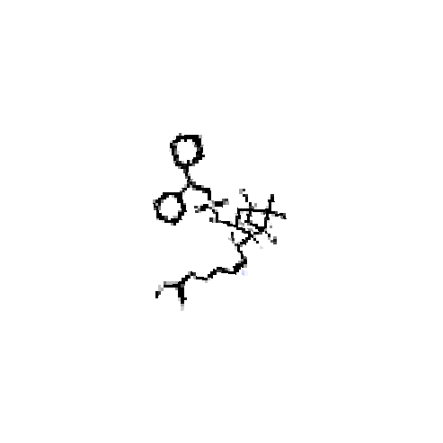 COC(=O)CCC/C=C\C[C@@H]1[C@@H](NS(=O)(=O)C=C(c2ccccc2)c2ccccc2)C[C@H]2C[C@@H]1C2(C)C